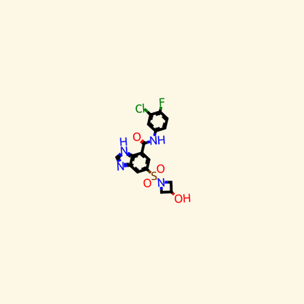 O=C(Nc1ccc(F)c(Cl)c1)c1cc(S(=O)(=O)N2CC(O)C2)cc2nc[nH]c12